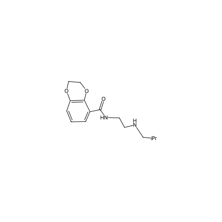 CC(C)CNCCNC(=O)c1cccc2c1OCCO2